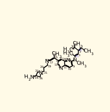 C/C=C(\C=C(/C)N(C)c1ccc2ncc(C(C)=C=NCCCN3CC(N)C3)cc2n1)C(C)C